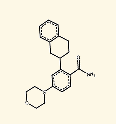 NC(=O)c1ccc(N2CCOCC2)cc1C1CCc2ccccc2C1